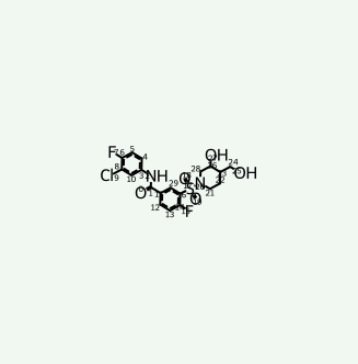 O=C(Nc1ccc(F)c(Cl)c1)c1ccc(F)c(S(=O)(=O)N2CCC(CO)C(O)C2)c1